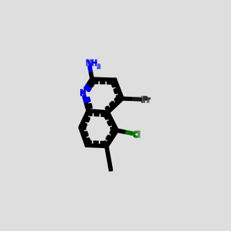 Cc1ccc2nc(N)cc(C(C)C)c2c1Cl